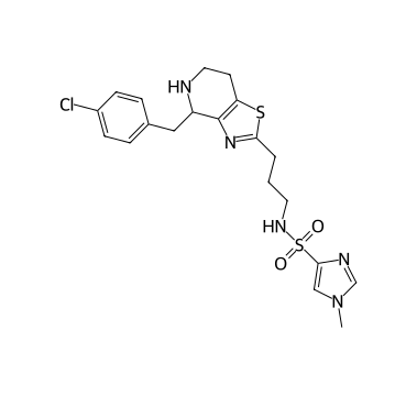 Cn1cnc(S(=O)(=O)NCCCc2nc3c(s2)CCNC3Cc2ccc(Cl)cc2)c1